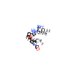 CO/C(Nc1cccc(-c2cccc(C)c2OCc2ccc3c(c2)C(C)(C)CN(C2CCOCC2)C3)n1)=C(/C=N)C(=O)O